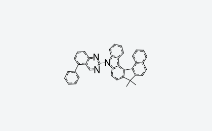 CC1(C)c2ccc3ccccc3c2-c2c1ccc1c2c2ccccc2n1-c1ncc2c(-c3ccccc3)cccc2n1